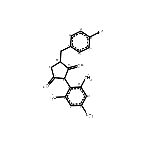 Cc1cc(C)c(C2C(=O)CC(Cc3ccc(F)cc3)C2=O)c(C)c1